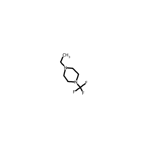 CCN1CCN(C(F)(F)F)CC1